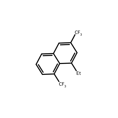 [CH2]Cc1cc(C(F)(F)F)cc2cccc(C(F)(F)F)c12